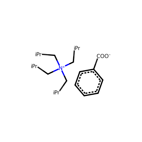 CC(C)C[N+](CC(C)C)(CC(C)C)CC(C)C.O=C([O-])c1ccccc1